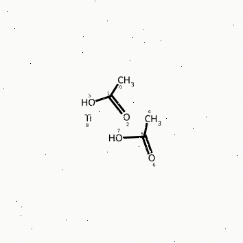 CC(=O)O.CC(=O)O.[Ti]